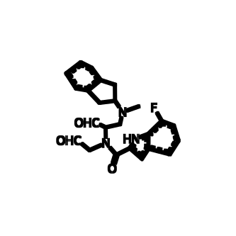 CN(CC(C=O)N(CC=O)C(=O)c1cc2cccc(F)c2[nH]1)C1Cc2ccccc2C1